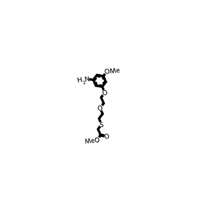 COC(=O)CSCCOCCOc1cc(N)cc(OC)c1